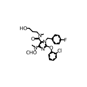 CN(CCCO)C(=O)c1c(N(C)C=O)nc(Oc2ccccc2Cl)n1Cc1ccc(F)cc1